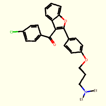 CCN(CC)CCCOc1ccc(-c2oc3ccccc3c2C(=O)c2ccc(Cl)cc2)cc1